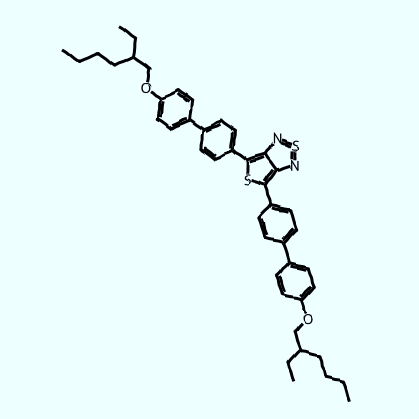 CCCCC(CC)COc1ccc(-c2ccc(-c3sc(-c4ccc(-c5ccc(OCC(CC)CCCC)cc5)cc4)c4c3N=S=N4)cc2)cc1